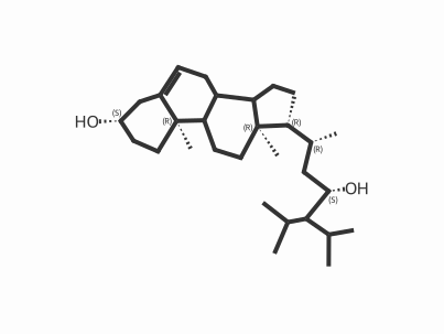 CC(C)C(C(C)C)[C@@H](O)C[C@@H](C)[C@H]1CCC2C3CC=C4C[C@@H](O)CC[C@]4(C)C3CC[C@@]21C